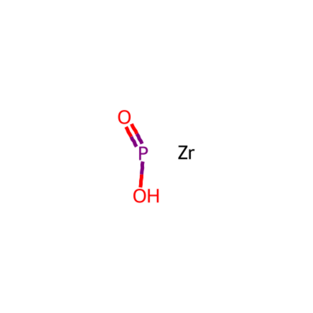 O=PO.[Zr]